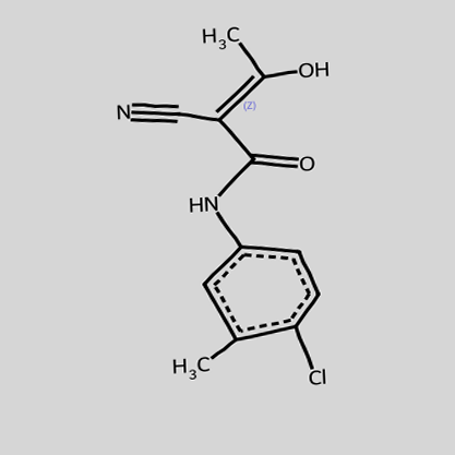 C/C(O)=C(\C#N)C(=O)Nc1ccc(Cl)c(C)c1